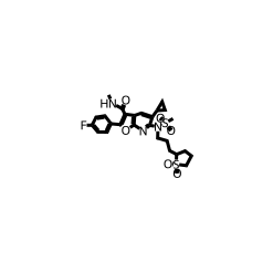 CNC(=O)c1c(-c2ccc(F)cc2)oc2nc(N(CCCC3CCCS3(=O)=O)S(C)(=O)=O)c(C3CC3)cc12